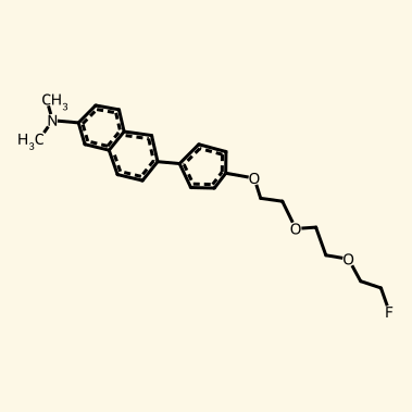 CN(C)c1ccc2cc(-c3ccc(OCCOCCOCCF)cc3)ccc2c1